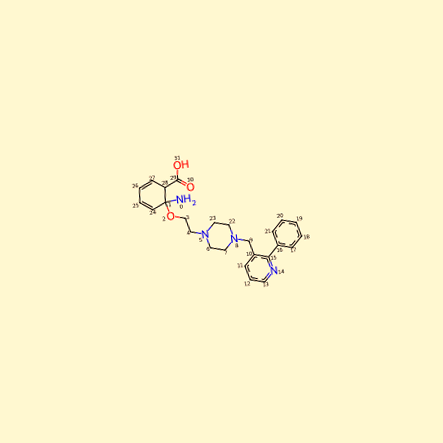 NC1(OCCN2CCN(Cc3cccnc3-c3ccccc3)CC2)C=CC=CC1C(=O)O